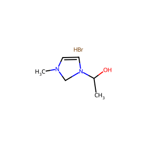 Br.CC(O)N1C=CN(C)C1